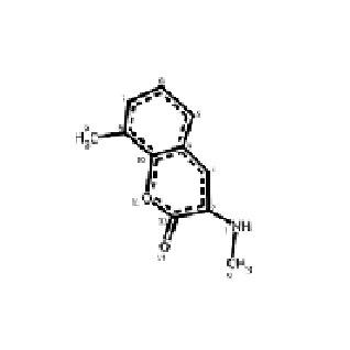 CNc1cc2cccc(C)c2oc1=O